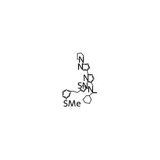 C=C(C1CCCCC1)N(Cc1ccc(-c2ccc(N3CCCC3)nc2)nc1)c1cc(CCc2cccc(SC)c2)sn1